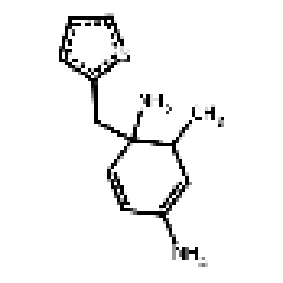 CC1C=C(N)C=CC1(N)Cc1cccs1